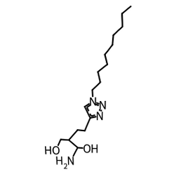 CCCCCCCCCCn1cc(CCC(CO)C(N)O)nn1